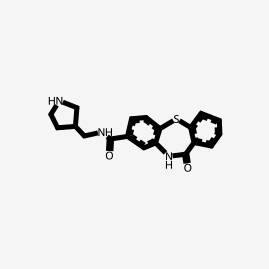 O=C(NCC1CCNC1)c1ccc2c(c1)NC(=O)c1ccccc1S2